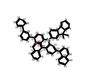 CC1(C)c2ccccc2-c2ccc(N(c3ccc(-c4cccc(-c5ccccc5)c4)cc3)c3cc(-c4cccc5ccccc45)ccc3-c3cccc4ccccc34)cc21